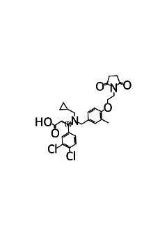 Cc1cc(CN(CC2CC2)[C@H](CC(=O)O)c2ccc(Cl)c(Cl)c2)ccc1OCCN1C(=O)CCC1=O